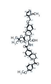 COc1ccc(C(=O)N2CCc3cc(C(=O)NC[C@@H](O)[C@@H]4Cc5ccc(OCc6ccnn6C)cc5CN4C(=O)OC(C)(C)C)ccc3C2)cc1